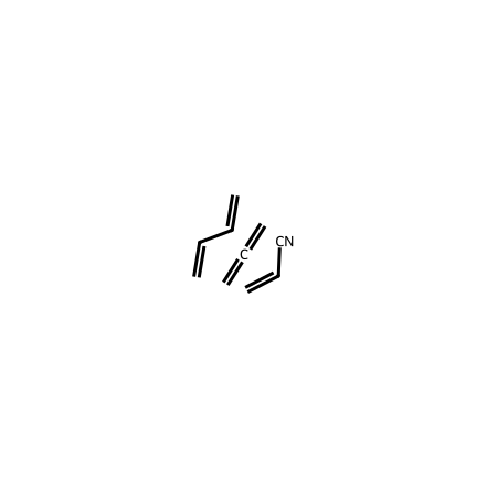 C=C=C.C=CC#N.C=CC=C